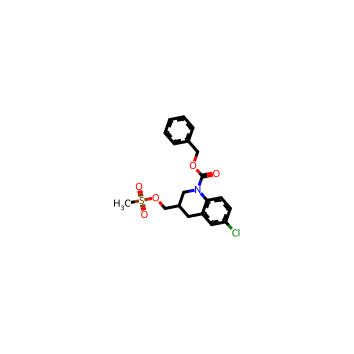 CS(=O)(=O)OCC1Cc2cc(Cl)ccc2N(C(=O)OCc2ccccc2)C1